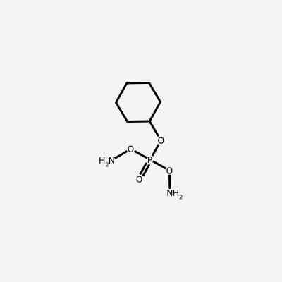 NOP(=O)(ON)OC1CCCCC1